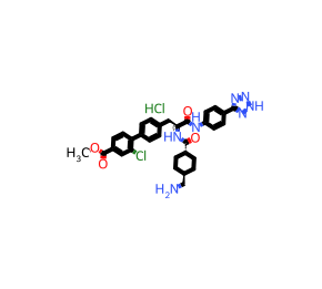 COC(=O)c1ccc(-c2ccc(C[C@H](NC(=O)[C@H]3CC[C@H](CN)CC3)C(=O)Nc3ccc(-c4nn[nH]n4)cc3)cc2)c(Cl)c1.Cl